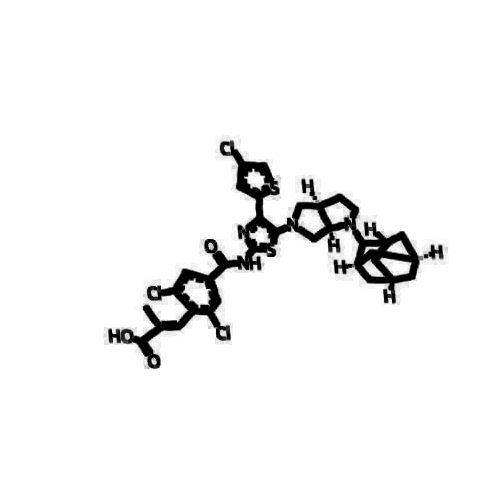 C/C(=C\c1c(Cl)cc(C(=O)Nc2nc(-c3cc(Cl)cs3)c(N3C[C@H]4CCN(C5[C@H]6C[C@@H]7C[C@@H](C[C@H]5C7)C6)[C@H]4C3)s2)cc1Cl)C(=O)O